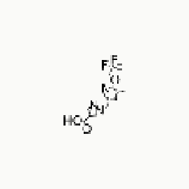 Cc1cc(Cn2cc(C(=O)O)cn2)cnc1OCC(F)(F)F